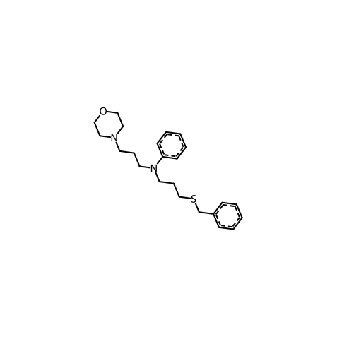 c1ccc(CSCCCN(CCCN2CCOCC2)c2ccccc2)cc1